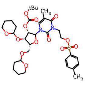 Cc1ccc(S(=O)(=O)OCCn2c(=O)c(C)cn(C3O[C@H](COC4CCCCO4)[C@@H](OC4CCCCO4)[C@@H]3OC(=O)OC(C)(C)C)c2=O)cc1